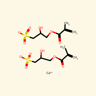 C=C(C)C(=O)OCC(O)CS(=O)(=O)[O-].C=C(C)C(=O)OCC(O)CS(=O)(=O)[O-].[Ca+2]